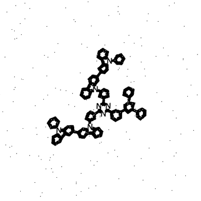 c1ccc(-c2cc(-c3ccccc3)cc(-c3cccc(-c4nc(-c5cccc(-n6c7ccccc7c7ccc(-c8ccc9c(c8)c8ccccc8n9-c8ccccc8)cc76)c5)nc(-c5cccc(-n6c7ccccc7c7ccc(-c8ccc9c(c8)c8ccccc8n9-c8ccccc8)cc76)c5)n4)c3)c2)cc1